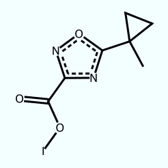 CC1(c2nc(C(=O)OI)no2)CC1